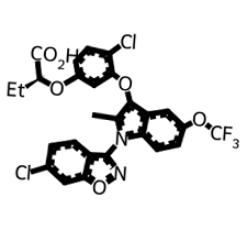 CC[C@H](Oc1ccc(Cl)c(Oc2c(C)n(-c3noc4cc(Cl)ccc34)c3ccc(OC(F)(F)F)cc23)c1)C(=O)O